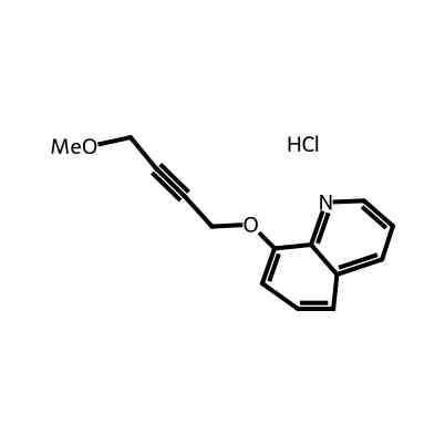 COCC#CCOc1cccc2cccnc12.Cl